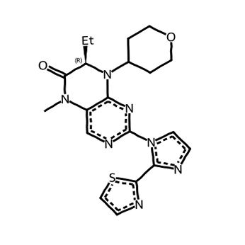 CC[C@@H]1C(=O)N(C)c2cnc(-n3ccnc3-c3nccs3)nc2N1C1CCOCC1